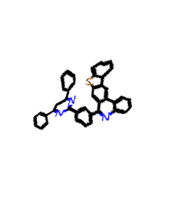 c1ccc(-c2cc(-c3ccccc3)nc(-c3cccc(-c4nc5ccccc5c5cc6c(cc45)sc4ccccc46)c3)n2)cc1